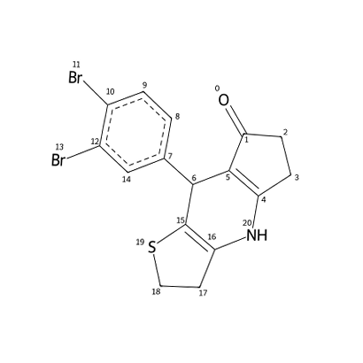 O=C1CCC2=C1C(c1ccc(Br)c(Br)c1)C1=C(CCS1)N2